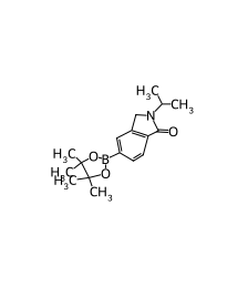 CC(C)N1Cc2cc(B3OC(C)(C)C(C)(C)O3)ccc2C1=O